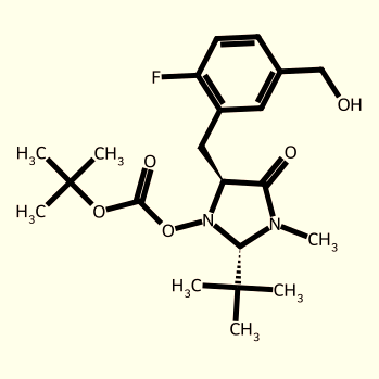 CN1C(=O)[C@H](Cc2cc(CO)ccc2F)N(OC(=O)OC(C)(C)C)[C@H]1C(C)(C)C